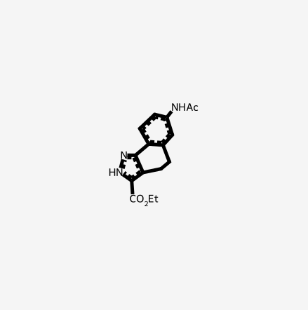 CCOC(=O)c1[nH]nc2c1CCc1cc(NC(C)=O)ccc1-2